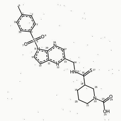 Cc1ccc(S(=O)(=O)n2ccc3nc(CNC(=S)C4CCCN(C(=O)O)C4)cnc32)cc1